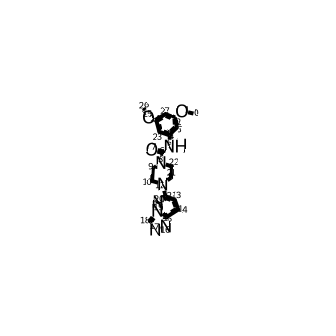 COc1cc(NC(=O)N2CCN(c3ccc4nncn4n3)CC2)cc(OC)c1